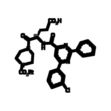 CCOC(=O)N1CCN(C(=O)[C@H](CCC(=O)O)NC(=O)c2cc(-c3cccc(Cl)c3)nc(-c3ccccc3)n2)CC1